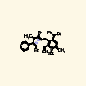 C=CC1=C(C/C=C(\CC)N(C)/C(=C/CC)c2ccccc2)C(C(CC)CC)=CC(=C)N1CC